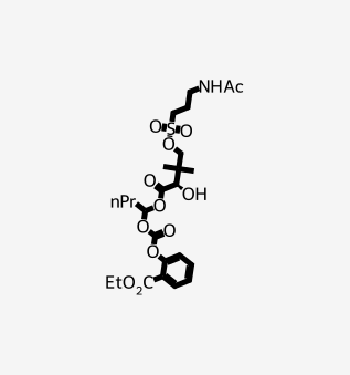 CCCC(OC(=O)Oc1ccccc1C(=O)OCC)OC(=O)[C@H](O)C(C)(C)COS(=O)(=O)CCCNC(C)=O